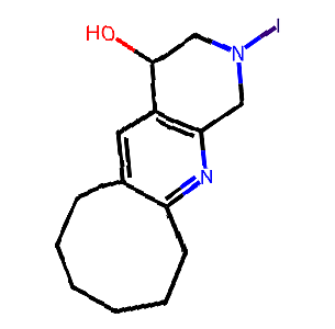 OC1CN(I)Cc2nc3c(cc21)CCCCCC3